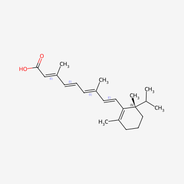 CC1=C(/C=C/C(C)=C/C=C/C(C)=C/C(=O)O)[C@](C)(C(C)C)CCC1